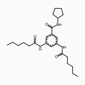 CCCCCC(=O)Nc1cc(NC(=O)CCCCC)cc(C(=O)NC2CCCC2)c1